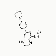 C1=CNC2C=C(c3ccc(N4CCOCC4)cc3)N=C(NC3CC3)C2=N1